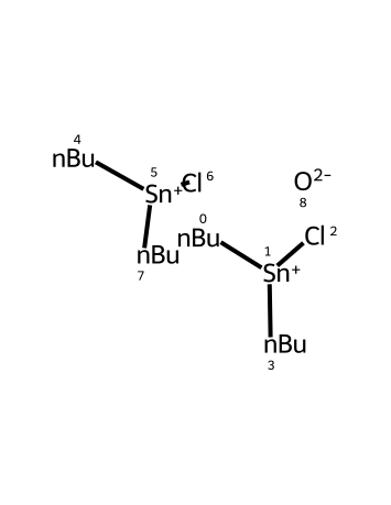 CCC[CH2][Sn+]([Cl])[CH2]CCC.CCC[CH2][Sn+]([Cl])[CH2]CCC.[O-2]